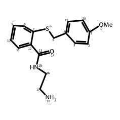 COc1ccc(CSc2ccccc2C(=O)NCCN)cc1